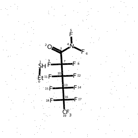 CCS.O=C(N(F)F)C(F)(F)C(F)(F)C(F)(F)C(F)(F)C(F)(F)F